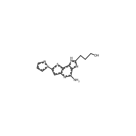 Nc1nc2cc(-n3cccn3)sc2c2[nH]c(CCCO)nc12